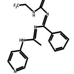 C=C(/N=C(\N=C(/C)Nc1ccncc1)c1ccccc1)NCC(F)(F)F